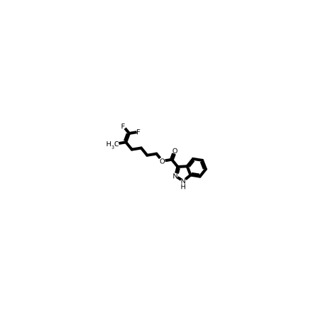 CC(CCCCOC(=O)c1n[nH]c2ccccc12)=C(F)F